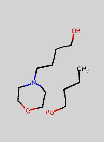 CCCCO.OCCCCN1CCOCC1